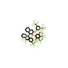 FC(F)(F)c1cc(P(c2cc(C(F)(F)F)cc(C(F)(F)F)c2)c2cc3ccccc3c(-c3cccc4ccccc34)c2P(c2cc(C(F)(F)F)cc(C(F)(F)F)c2)c2cc(C(F)(F)F)cc(C(F)(F)F)c2)cc(C(F)(F)F)c1